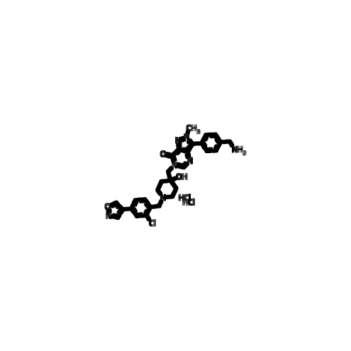 Cl.Cl.Cn1nc2c(=O)n(CC3(O)CCN(Cc4ccc(-c5cnoc5)cc4Cl)CC3)cnc2c1-c1ccc(CN)cc1